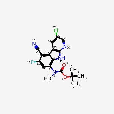 CN(C(=O)OC(C)(C)C)c1cc(F)c(C#N)c2c1[nH]c1ncc(Cl)cc12